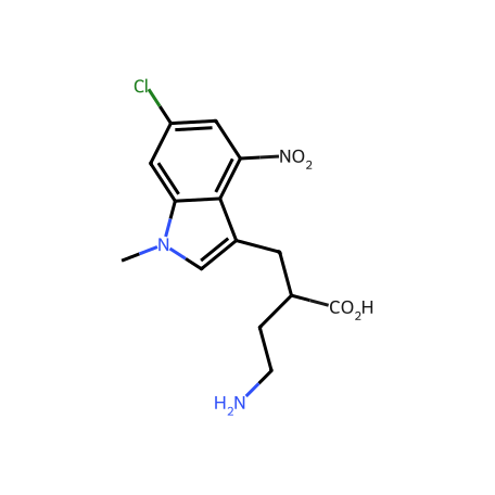 Cn1cc(CC(CCN)C(=O)O)c2c([N+](=O)[O-])cc(Cl)cc21